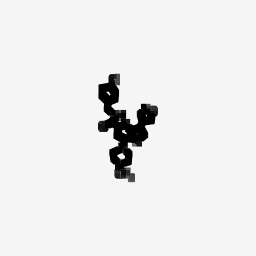 CN1CCN(c2cc(C(=O)NCc3ccc(Cl)cc3)nc3c(-c4cnoc4)cnn23)CC1